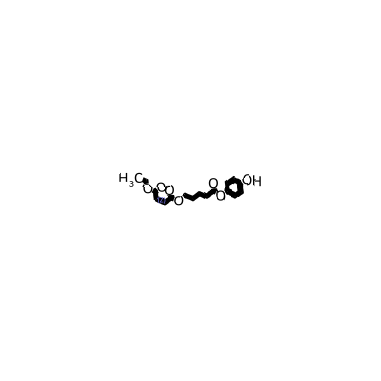 CCOC(=O)/C=C\C(=O)OCCCCC(=O)Oc1ccc(O)cc1